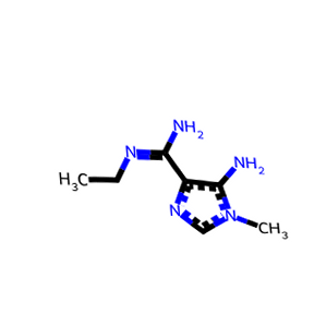 CC/N=C(/N)c1ncn(C)c1N